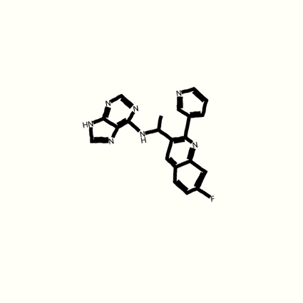 CC(Nc1ncnc2[nH]cnc12)c1cc2ccc(F)cc2nc1-c1cccnc1